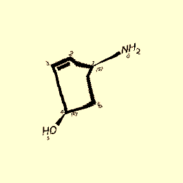 N[C@@H]1C=C[C@H](O)C1